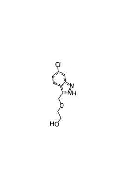 OCCOCc1[nH]nc2cc(Cl)ccc12